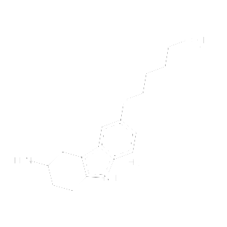 CCOC(=O)CCCCOc1ccc2[nH]c3c(c2c1)CC(N)CC3.Cl